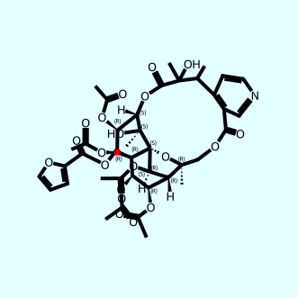 CC(=O)O[C@@H]1[C@@H]2[C@@H](OC(C)=O)[C@@]34O[C@@]2(C)COC(=O)c2cnccc2C(C)C(C)(O)C(=O)O[C@@H]([C@H](OC(C)=O)[C@H](OC(C)=O)[C@@]3(COC(=O)c2ccco2)[C@@H]1OC(C)=O)[C@]4(C)O